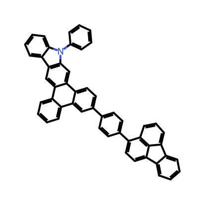 c1ccc(-n2c3ccccc3c3cc4c5ccccc5c5cc(-c6ccc(-c7ccc8c9c(cccc79)-c7ccccc7-8)cc6)ccc5c4cc32)cc1